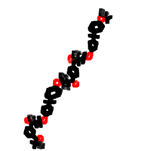 CCC(C)(C)Oc1ccc(C(C)(C)c2ccc(OC(C)(C)C(C)(CC)C(=O)c3ccc(C(=O)C(C)(CC)C(C)(CC)Oc4ccc(C(C)(C)c5ccc(OC(C)(C)C(C)(CC)C(=O)c6cccc(C(=O)C(C)(C)CC)c6)cc5)cc4)cc3)cc2)cc1